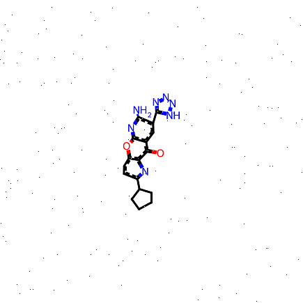 Nc1nc2oc3ccc(C4CCCC4)nc3c(=O)c2cc1-c1nnn[nH]1